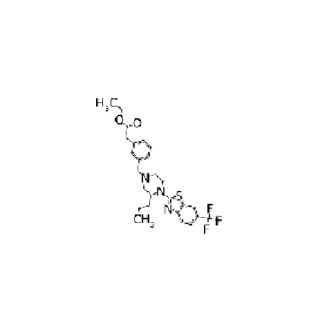 CCC[C@H]1CN(Cc2cccc(CC(=O)OCC)c2)CCN1c1nc2ccc(C(F)(F)F)cc2s1